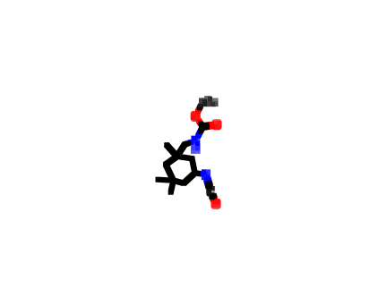 CCCCOC(=O)NCC1(C)CC(N=C=O)CC(C)(C)C1